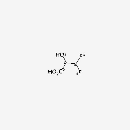 O=C(O)C(O)C(F)F